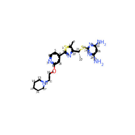 Cc1sc(-c2ccnc(OCCN3CCCCC3)c2)nc1[C@@H](C)Sc1nc(N)cc(N)n1